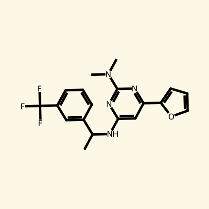 CC(Nc1cc(-c2ccco2)nc(N(C)C)n1)c1cccc(C(F)(F)F)c1